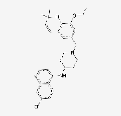 CCOc1cc(CN2CCC(Nc3ccnc4cc(Cl)ccc34)CC2)cc2c1OC(C)(C)C=C2